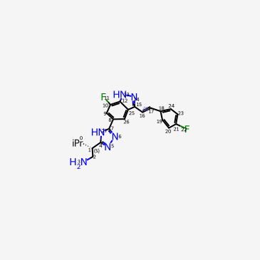 CC(C)[C@@H](CN)c1nnc(-c2cc(F)c3[nH]nc(/C=C/c4ccc(F)cc4)c3c2)[nH]1